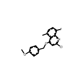 COc1ccc(COc2cc(Cl)nc3c(F)ccc(C)c23)cc1